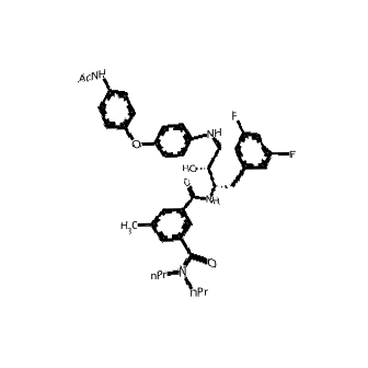 CCCN(CCC)C(=O)c1cc(C)cc(C(=O)N[C@@H](Cc2cc(F)cc(F)c2)[C@H](O)CNc2ccc(Oc3ccc(NC(C)=O)cc3)cc2)c1